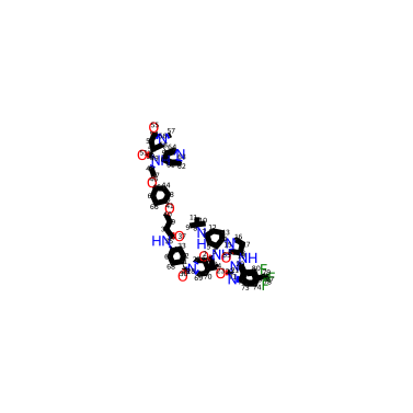 CC(=O)N[C@@H]1C[C@H](NC(C)(C)C)CC[C@@H]1N1CC[C@H](Nc2nc(OCC3CCN(C(=O)[C@H]4CC[C@H](NC(=O)CCCO[C@H]5CC[C@H](OCCNC(=O)[C@H]6CC(=O)N(C)[C@@H]6c6cccnc6)CC5)CC4)CC3)nc3ccc(C(F)(F)F)cc23)C1=O